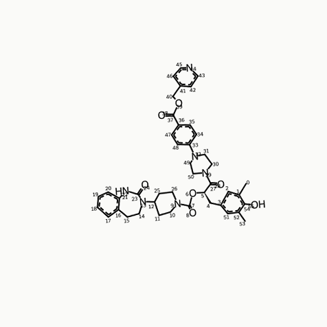 Cc1cc(C[C@@H](OC(=O)N2CCC(N3CCc4ccccc4NC3=O)CC2)C(=O)N2CCN(c3ccc(C(=O)OCc4ccncc4)cc3)CC2)cc(C)c1O